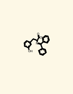 O=C(O)C(Cc1cccc(O)c1)N=C(c1ccccc1)c1ccccc1